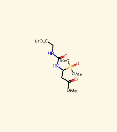 CCOC(=O)CNC(=O)NC(CC(=O)OC)P(=O)(OC)OC